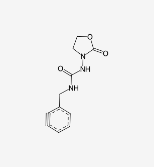 O=C(NCc1c#cccc1)NN1CCOC1=O